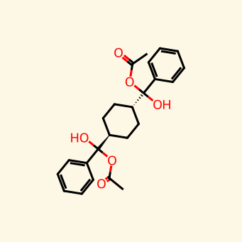 CC(=O)OC(O)(c1ccccc1)[C@H]1CC[C@H](C(O)(OC(C)=O)c2ccccc2)CC1